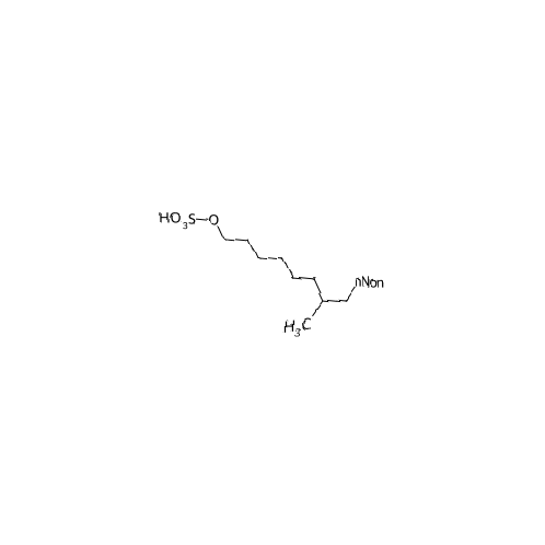 CCCCCCCCCCC(C)CCCCCCOS(=O)(=O)O